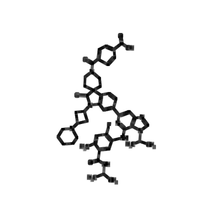 Cc1cc(F)c(Nc2nc(-c3ccc4c(c3)N(C3CC(N5CCCCC5)C3)C(=O)C43CCN(C(=O)c4ccc(C(=O)O)cc4)CC3)cc3ncn(C(C)C)c23)cc1C(=O)NC(C)C